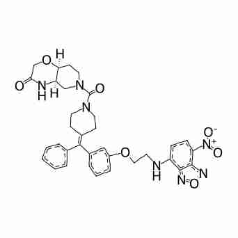 O=C1CO[C@H]2CCN(C(=O)N3CCC(=C(c4ccccc4)c4cccc(OCCNc5ccc([N+](=O)[O-])c6nonc56)c4)CC3)C[C@H]2N1